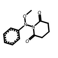 CON(c1ccccc1)N1C(=O)CCCC1=O